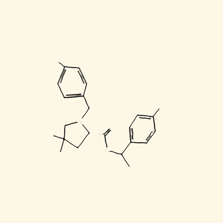 CC(NC(=O)[C@@H]1CC(F)(F)CN1Cc1ccc(C(F)(F)F)cc1)c1ccc(C(=O)O)cc1